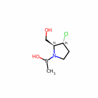 CB(O)N1CC[C@@H](Cl)[C@@H]1CO